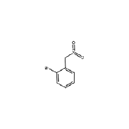 O=[SH](=O)Cc1ccccc1Br